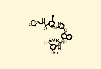 C#Cc1cc(Nc2cc(Oc3ccc(NC(=O)Nc4cc(NSC)cc(C(C)(C)C)c4)c4ccccc34)ccn2)cc(C(=O)NCCN2CCOCC2)c1